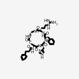 N=C(N)NCCC[C@@H]1NC(=O)[C@@H](Cc2ccccc2)NC(=O)[C@H](Cc2c[nH]cn2)NC(=O)[C@@H](NC(=O)CCc2ccccc2)CCC(=O)NCCNC1=O